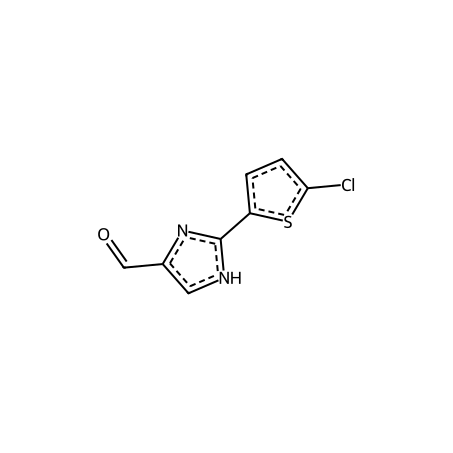 O=Cc1c[nH]c(-c2ccc(Cl)s2)n1